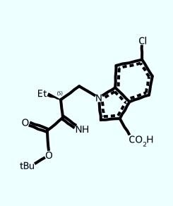 CC[C@@H](Cn1cc(C(=O)O)c2ccc(Cl)cc21)C(=N)C(=O)OC(C)(C)C